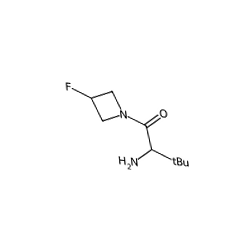 CC(C)(C)C(N)C(=O)N1CC(F)C1